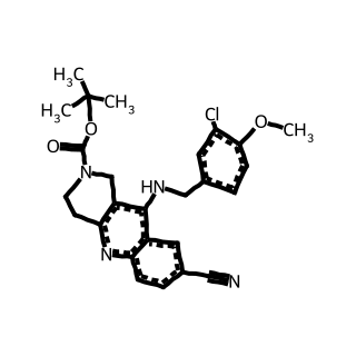 COc1ccc(CNc2c3c(nc4ccc(C#N)cc24)CCN(C(=O)OC(C)(C)C)C3)cc1Cl